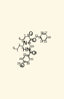 CCCCn1c(C)cc(=O)c(OCc2ccccc2)c1CNC(=O)c1ccc(OC)cc1